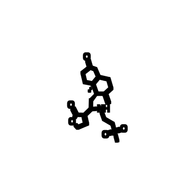 C=C1CCC2CC(=O)CC[C@]2(C)[C@@H]1CC(NCCS(C)(=O)=O)C1=CCOC1=O